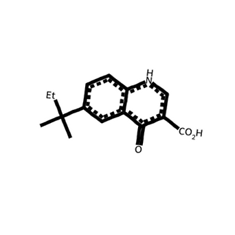 CCC(C)(C)c1ccc2[nH]cc(C(=O)O)c(=O)c2c1